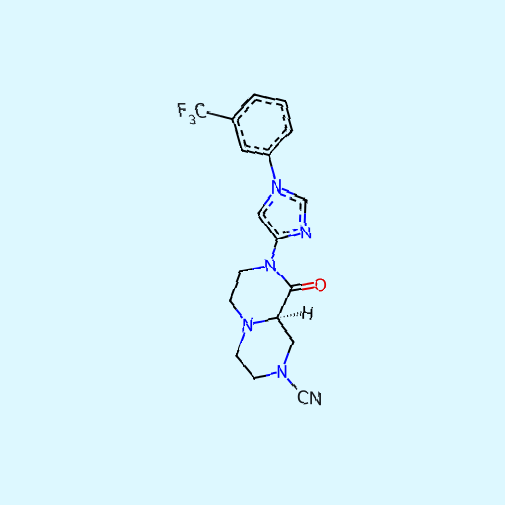 N#CN1CCN2CCN(c3cn(-c4cccc(C(F)(F)F)c4)cn3)C(=O)[C@H]2C1